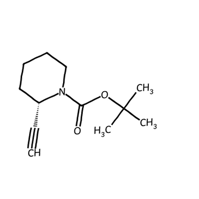 C#C[C@@H]1CCCCN1C(=O)OC(C)(C)C